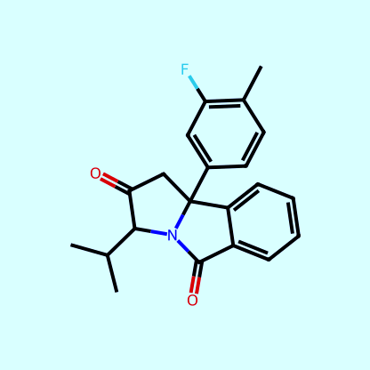 Cc1ccc(C23CC(=O)C(C(C)C)N2C(=O)c2ccccc23)cc1F